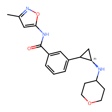 Cc1cc(NC(=O)c2cccc(C3C[C@H]3NC3CCOCC3)c2)on1